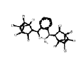 CC(c1ccccc1C(C)C1C(Cl)C2(Cl)CC1(Cl)C(Cl)=C2Cl)C1C(Cl)C2(Cl)CC1(Cl)C(Cl)=C2Cl